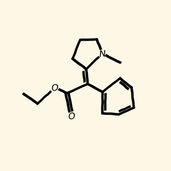 CCOC(=O)C(=C1CCCN1C)c1ccccc1